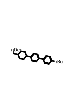 CCCCCCCCCCCC1CCC(c2ccc(-c3ccc(CCCC)cc3)cc2)CC1